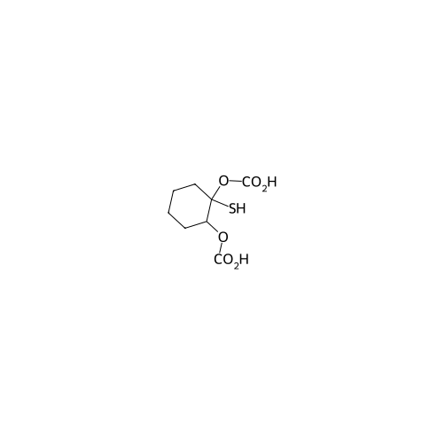 O=C(O)OC1CCCCC1(S)OC(=O)O